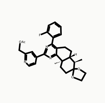 CC(=O)OCc1cc(-c2nc(-c3ccccc3F)c3c(n2)[C@]2(C)CCC4(OCCO4)[C@H](C)[C@H]2CC3)ccn1